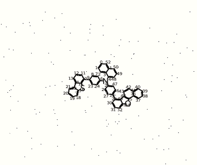 c1ccc2c(N(c3ccc(-c4cccc5c4sc4ccccc45)cc3)c3ccc(-c4cccc5oc6c7ccccc7ccc6c45)cc3)cccc2c1